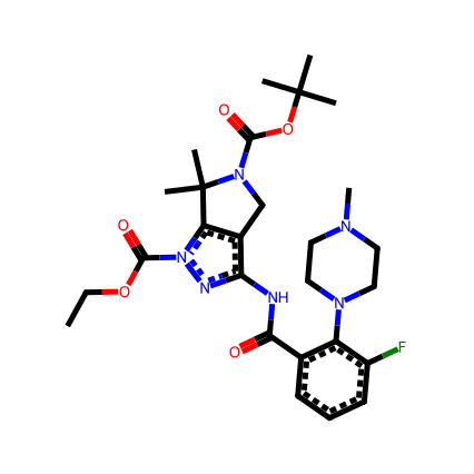 CCOC(=O)n1nc(NC(=O)c2cccc(F)c2N2CCN(C)CC2)c2c1C(C)(C)N(C(=O)OC(C)(C)C)C2